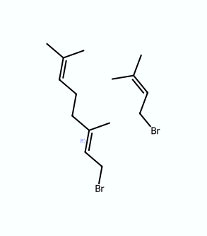 CC(C)=CCBr.CC(C)=CCC/C(C)=C/CBr